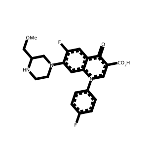 COCC1CN(c2cc3c(cc2F)c(=O)c(C(=O)O)cn3-c2ccc(F)cc2)CCN1